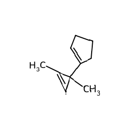 CC1=[C]C1(C)C1=CCCC1